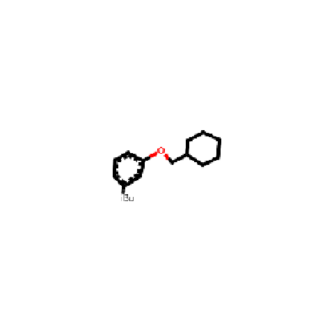 CCC(C)c1cccc(OCC2CCCCC2)c1